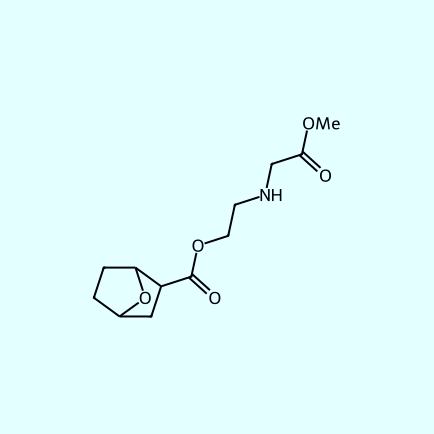 COC(=O)CNCCOC(=O)C1CC2CCC1O2